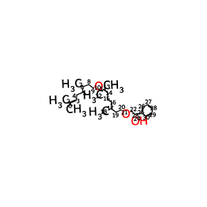 CC(C)=CCCC(C)CCOC(C)(C)CCCC(C)CCOCC(O)c1ccccc1